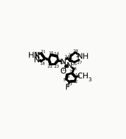 Cc1cc(F)ccc1CN1C(=O)N(c2ccc(-c3cn[nH]c3)cc2)CC12CCNCC2